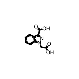 O=C(O)Cn1nc(C(=O)O)c2ccccc21